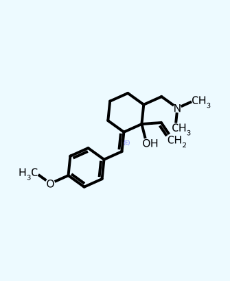 C=CC1(O)/C(=C/c2ccc(OC)cc2)CCCC1CN(C)C